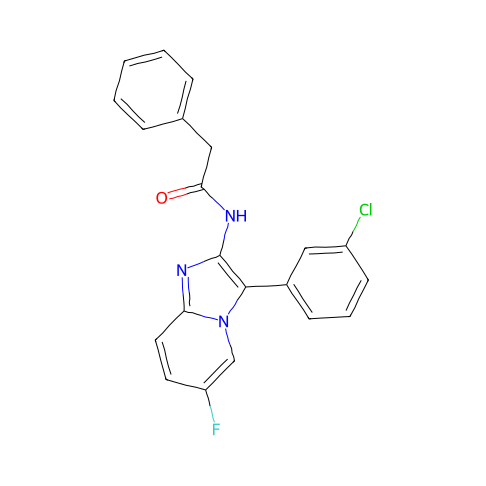 O=C(Cc1ccccc1)Nc1nc2ccc(F)cn2c1-c1cccc(Cl)c1